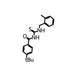 Cc1ccccc1CNC(=S)NC(=O)c1ccc(C(C)(C)C)cc1